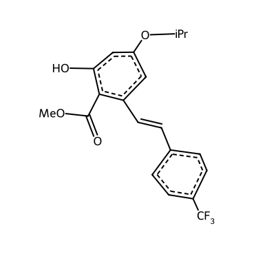 COC(=O)c1c(O)cc(OC(C)C)cc1C=Cc1ccc(C(F)(F)F)cc1